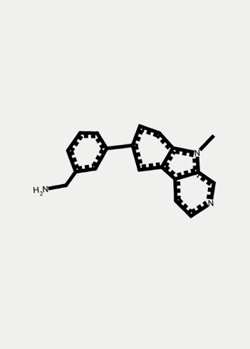 Cn1c2ccc(-c3cccc(CN)c3)cc2c2ccncc21